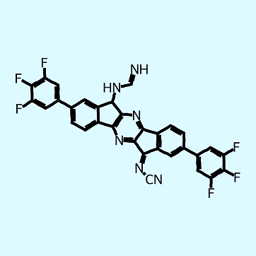 N#C/N=C1\c2cc(-c3cc(F)c(F)c(F)c3)ccc2-c2nc3c(nc21)-c1ccc(-c2cc(F)c(F)c(F)c2)cc1C3NC=N